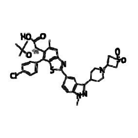 Cc1cc2nc(-c3ccc4c(c3)c(C3CCN(C5CS(=O)(=O)C5)CC3)nn4C)sc2c(-c2ccc(Cl)cc2)c1[C@H](OC(C)(C)C)C(=O)O